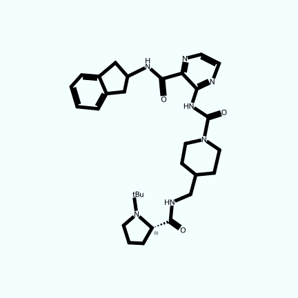 CC(C)(C)N1CCC[C@H]1C(=O)NCC1CCN(C(=O)Nc2nccnc2C(=O)NC2Cc3ccccc3C2)CC1